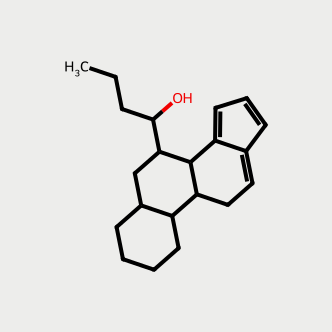 CCCC(O)C1CC2CCCCC2C2CC=C3C=CC=C3C12